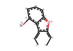 C/C=c1\c(=C/C)oc2cccc(Br)c12